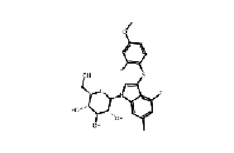 COc1ccc(Sc2cn([C@@H]3O[C@H](CO)[C@@H](O)[C@H](O)[C@H]3O)c3cc(C)cc(F)c23)c(F)c1